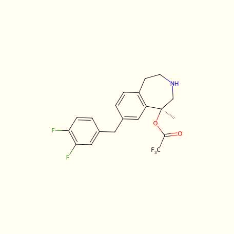 C[C@@]1(OC(=O)C(F)(F)F)CNCCc2ccc(Cc3ccc(F)c(F)c3)cc21